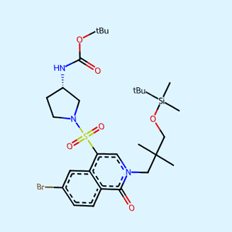 CC(C)(CO[Si](C)(C)C(C)(C)C)Cn1cc(S(=O)(=O)N2CC[C@H](NC(=O)OC(C)(C)C)C2)c2cc(Br)ccc2c1=O